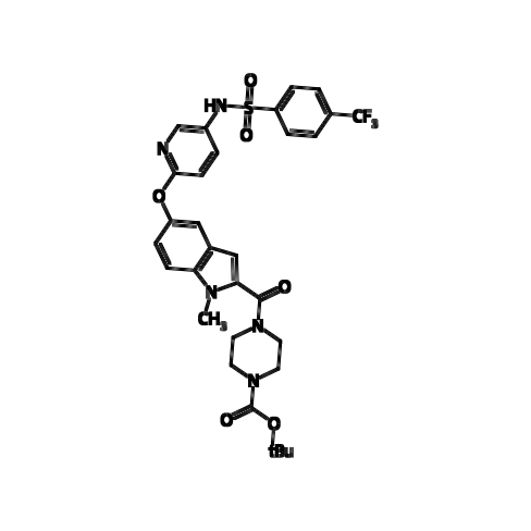 Cn1c(C(=O)N2CCN(C(=O)OC(C)(C)C)CC2)cc2cc(Oc3ccc(NS(=O)(=O)c4ccc(C(F)(F)F)cc4)cn3)ccc21